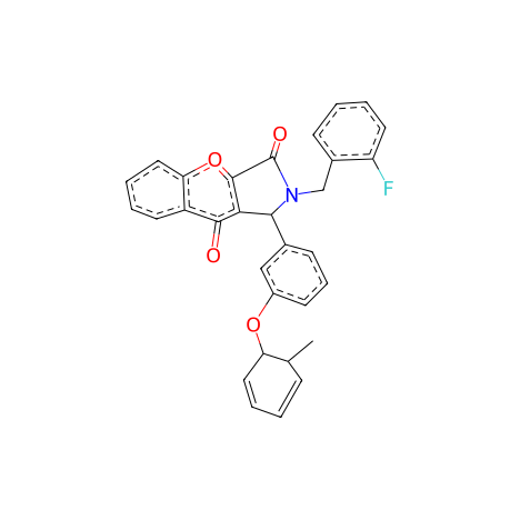 CC1C=CC=CC1Oc1cccc(C2c3c(oc4ccccc4c3=O)C(=O)N2Cc2ccccc2F)c1